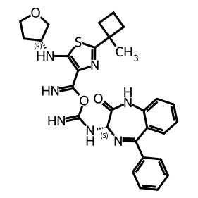 CC1(c2nc(C(=N)OC(=N)N[C@H]3N=C(c4ccccc4)c4ccccc4NC3=O)c(N[C@@H]3CCOC3)s2)CCC1